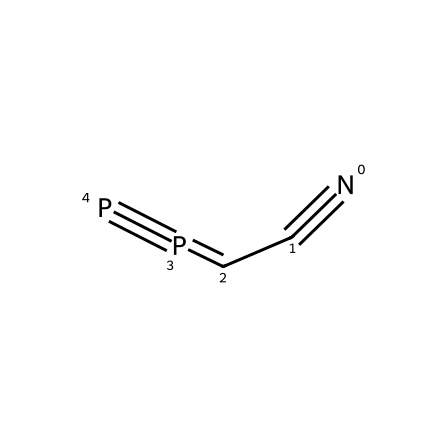 N#CC=P#P